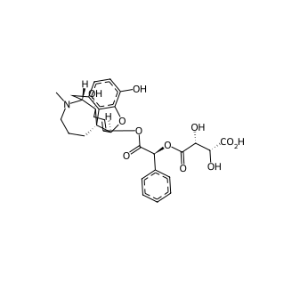 CN1CCC[C@]23c4c5ccc(O)c4O[C@H]2C(OC(=O)[C@@H](OC(=O)[C@H](O)[C@@H](O)C(=O)O)c2ccccc2)=CC[C@@]3(O)[C@H]1C5